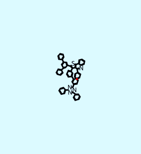 c1ccc(-c2cc(-c3ccccc3)cc(-c3sc4c(c(-c5ccccc5)nc5ccccc54)c3-c3cccc(-c4cccc(-c5nc(-c6ccccc6)nc(-c6ccccc6)n5)c4)c3)c2)cc1